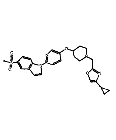 CS(=O)(=O)c1ccc2c(ccn2-c2ccc(OC3CCN(Cc4nc(C5CC5)co4)CC3)cn2)c1